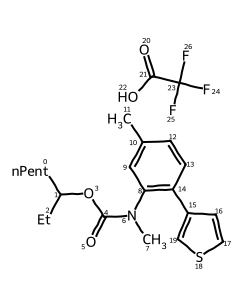 CCCCCC(CC)OC(=O)N(C)c1cc(C)ccc1-c1ccsc1.O=C(O)C(F)(F)F